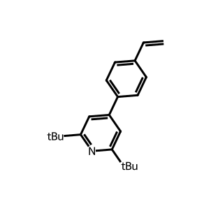 C=Cc1ccc(-c2cc(C(C)(C)C)nc(C(C)(C)C)c2)cc1